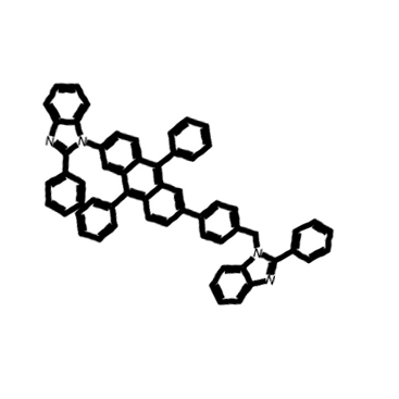 c1ccc(-c2c3ccc(-n4c(-c5ccccc5)nc5ccccc54)cc3c(-c3ccccc3)c3ccc(-c4ccc(Cn5c(-c6ccccc6)nc6ccccc65)cc4)cc23)cc1